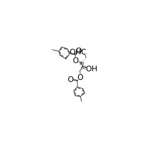 Cc1ccc(C(=O)OC[C@H](O)[C@@H](CC=O)OC(=O)c2ccc(C)cc2)cc1